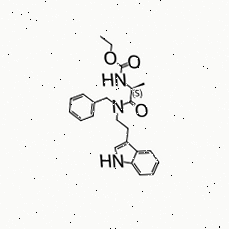 CCOC(=O)N[C@@H](C)C(=O)N(CCc1c[nH]c2ccccc12)Cc1ccccc1